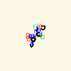 CN(c1cc(N2CCC2)ccc1Nc1cc(Cl)nc2c1nc(C(F)F)n2C1CCCCO1)S(C)(=O)=O